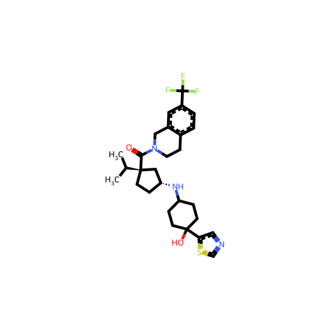 CC(C)[C@]1(C(=O)N2CCc3ccc(C(F)(F)F)cc3C2)CC[C@@H](NC2CCC(O)(c3cncs3)CC2)C1